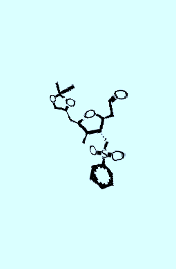 C[C@@H]1[C@@H](CS(=O)(=O)c2ccccc2)[C@H](CC=O)O[C@@H]1C[C@H]1COC(C)(C)O1